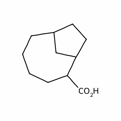 O=C(O)C1CCCCC2CCC1C2